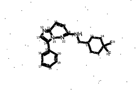 FC1(F)CCC(CNc2ccc3ncc(-c4ccccc4)n3n2)CC1